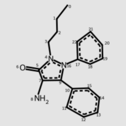 CCCCn1c(=O)c(N)c(-c2ccccc2)n1-c1ccccc1